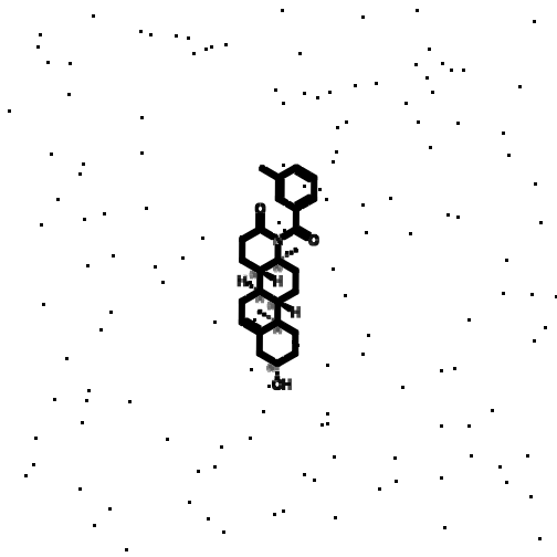 Cc1cccc(C(=O)N2C(=O)CC[C@H]3[C@@H]4CC=C5C[C@@H](O)CC[C@]5(C)[C@H]4CC[C@@]32C)c1